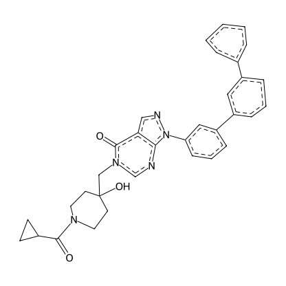 O=C(C1CC1)N1CCC(O)(Cn2cnc3c(cnn3-c3cccc(-c4cccc(-c5ccccc5)c4)c3)c2=O)CC1